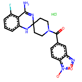 Cl.NC1=NC2(CCN(C(=O)c3ccc4c(c3)no[n+]4[O-])CC2)Nc2cccc(F)c21